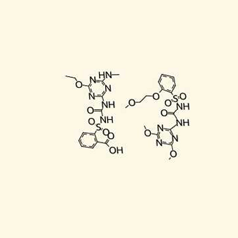 CCOc1nc(NC)nc(NC(=O)NS(=O)(=O)c2ccccc2C(=O)O)n1.COCCOc1ccccc1S(=O)(=O)NC(=O)Nc1nc(OC)nc(OC)n1